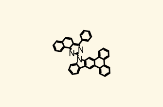 c1ccc(-c2nc(-n3c4ccccc4c4cc5c6ccccc6c6ccccc6c5cc43)nc3c2ccc2ccccc23)cc1